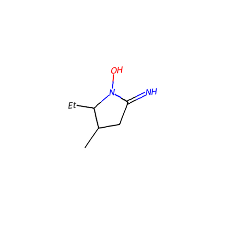 CCC1C(C)CC(=N)N1O